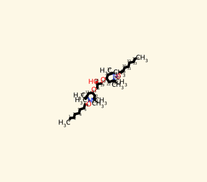 CCCCCCCCON1C(C)(C)CC(OCC(O)COC2CC(C)(C)N(OCCCCCCCC)C(C)(C)C2)CC1(C)C